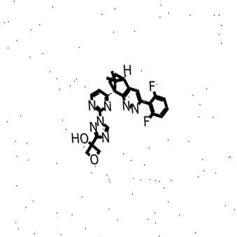 CC1(C)[C@H]2CC[C@]1(c1ccnc(-n3cnc(C4(O)COC4)n3)n1)c1nnc(-c3c(F)cccc3F)cc12